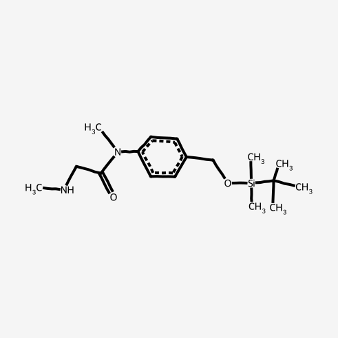 CNCC(=O)N(C)c1ccc(CO[Si](C)(C)C(C)(C)C)cc1